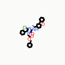 C[C@H](Nc1nc(Cl)c(-c2ccccc2)n(CC(=O)OCc2ccccc2)c1=O)c1ccc2oc3ccccc3c2c1